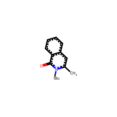 Cc1cc2ccccc2c(=O)n1C(C)(C)C